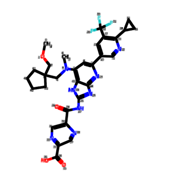 COCC1(CN(C)c2cc(-c3cnc(C4CC4)c(C(F)(F)F)c3)nc3nc(NC(=O)c4cnc(C(=O)O)cn4)[nH]c23)CCCC1